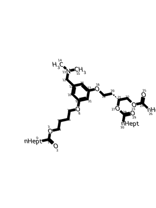 CCCCCCCC(=O)OCCCCOc1cc(CN(C)C)cc(OCC[C@H](COC(=O)CCCCCCC)OC(=O)CCCCCCC)c1